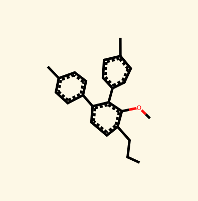 CCCc1[c]cc(-c2ccc(C)cc2)c(-c2ccc(C)cc2)c1OC